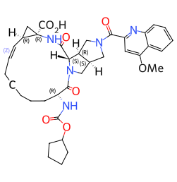 COc1cc(C(=O)N2C[C@H]3CN4C(=O)[C@H](NC(=O)OC5CCCC5)CCCCC/C=C\[C@H]5C[C@@]5(C(=O)O)NC(=O)[C@@H]4[C@H]3C2)nc2ccccc12